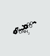 C=CCOC(=O)Oc1ccc(C(N)CC(=O)N2CCc3ccccc32)c(C)c1